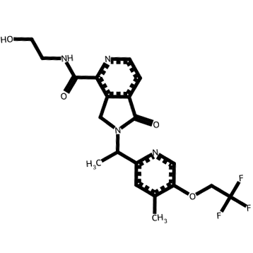 Cc1cc(C(C)N2Cc3c(ccnc3C(=O)NCCO)C2=O)ncc1OCC(F)(F)F